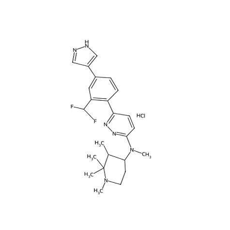 CC1C(N(C)c2ccc(-c3ccc(-c4cn[nH]c4)cc3C(F)F)nn2)CCN(C)C1(C)C.Cl